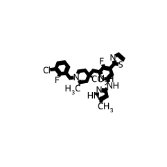 Cc1cc(Nc2cc(-c3nccs3)c(F)c(C[C@@]3(C(=O)O)CCN(Cc4cccc(Cl)c4F)[C@H](C)C3)n2)n[nH]1